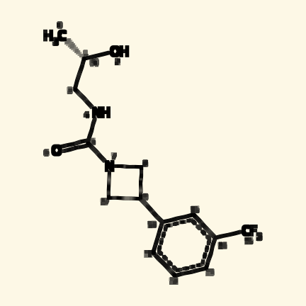 C[C@H](O)CNC(=O)N1CC(c2cccc(C(F)(F)F)c2)C1